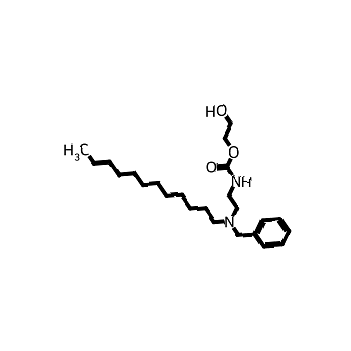 CCCCCCCCCCCCN(CCNC(=O)OCCO)Cc1ccccc1